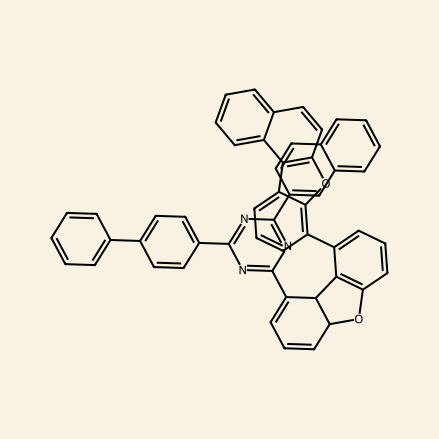 C1=CC2Oc3cccc(-c4cccc5c4oc4ccc6ccccc6c45)c3C2C(c2nc(-c3ccc(-c4ccccc4)cc3)nc(-c3ccc4ccccc4c3)n2)=C1